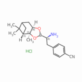 CC1(C)C2C[C@H]3OB([C@@H](N)Cc4ccc(C#N)cc4)O[C@@]3(C)[C@H]1C2.Cl